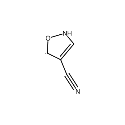 N#CC1=CNO[CH]1